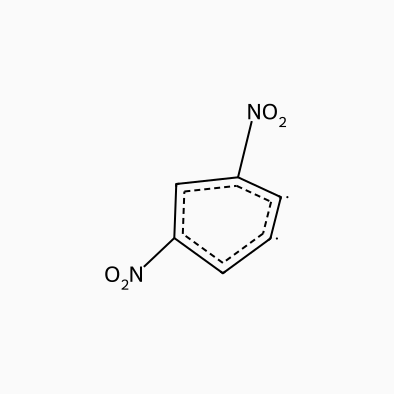 O=[N+]([O-])c1[c][c]cc([N+](=O)[O-])c1